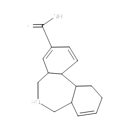 NC(=O)C1=CC2CNCC3C=CCCC3C2C=C1